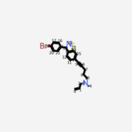 C=CCN(C)CCCC#Cc1ccc2c(-c3ccc(Br)cc3)nsc2c1